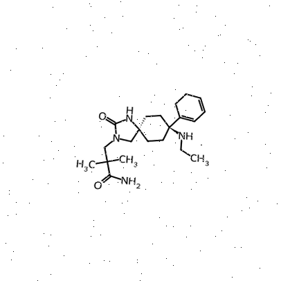 CCN[C@]1(C2=CC=CCC2)CC[C@]2(CC1)CN(CC(C)(C)C(N)=O)C(=O)N2